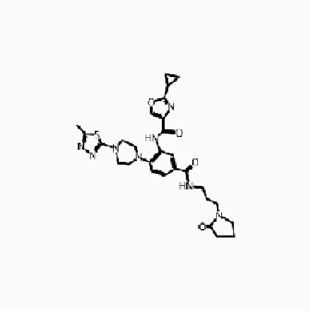 Cc1nnc(N2CCN(c3ccc(C(=O)NCCCN4CCCC4=O)cc3NC(=O)c3coc(C4CC4)n3)CC2)s1